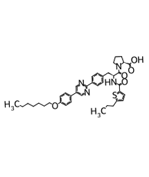 CCCCCCCOc1ccc(-c2cnc(-c3ccc(C[C@H](NC(=O)c4ccc(CCC)s4)C(=O)N4CCC[C@H]4C(=O)O)cc3)nc2)cc1